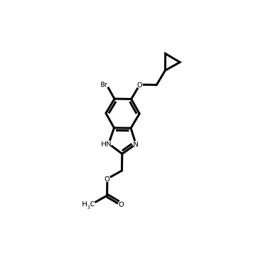 CC(=O)OCc1nc2cc(OCC3CC3)c(Br)cc2[nH]1